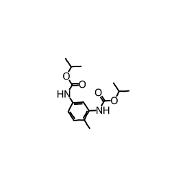 Cc1ccc(NC(=O)OC(C)C)cc1NC(=O)OC(C)C